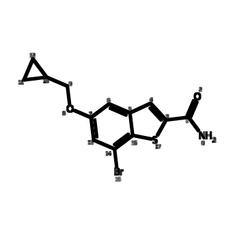 NC(=O)c1cc2cc(OCC3CC3)cc(Br)c2s1